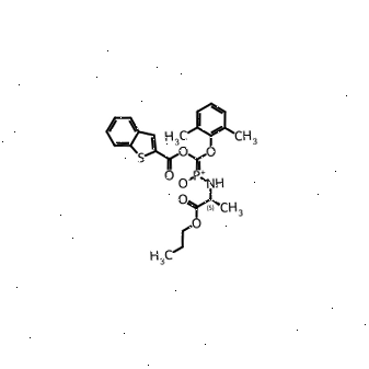 CCCOC(=O)[C@H](C)N[P+]([O-])=C(OC(=O)c1cc2ccccc2s1)Oc1c(C)cccc1C